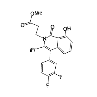 COC(=O)CCn1c(C(C)C)c(-c2ccc(F)c(F)c2)c2cccc(O)c2c1=O